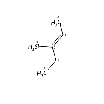 CC=C([SiH3])CC